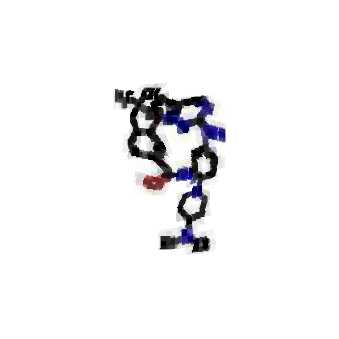 CCN(CC)C1CCN(c2ccc(Nc3ncc4ccc(-c5cc(C(N)=O)ccc5CC(C)(C)S(=O)(=O)O)n4n3)cc2)CC1